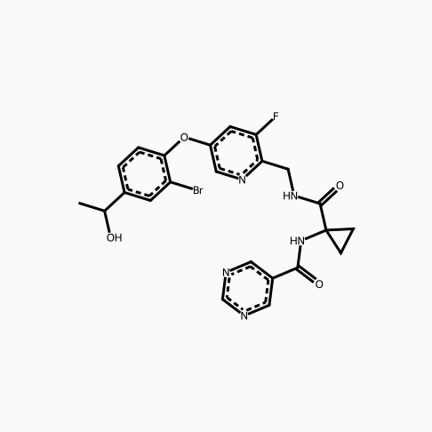 CC(O)c1ccc(Oc2cnc(CNC(=O)C3(NC(=O)c4cncnc4)CC3)c(F)c2)c(Br)c1